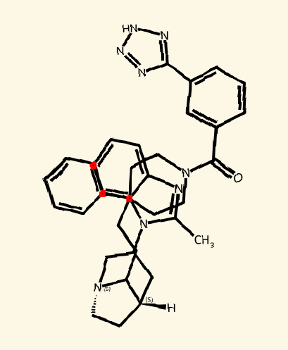 Cc1nc2ccccc2n1C1C[C@@H]2CC[N@](C1)C2CCC1(c2ccccc2)CCN(C(=O)c2cccc(-c3nn[nH]n3)c2)CC1